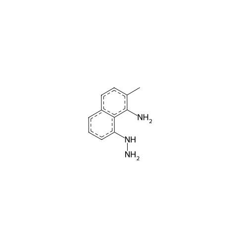 Cc1ccc2cccc(NN)c2c1N